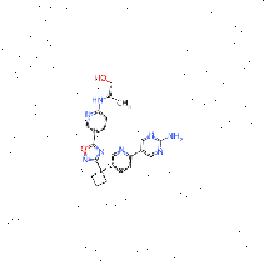 C/C(=C/O)Nc1ccc(-c2nc(C3(c4ccc(-c5cnc(N)nc5)nc4)CCC3)no2)cn1